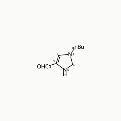 CCCCN1C=C(C=O)NC1